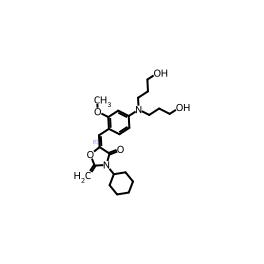 C=c1o/c(=C/c2ccc(N(CCCO)CCCO)cc2OC)c(=O)n1C1CCCCC1